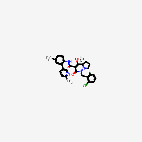 C[C@]12CCCN1N(Cc1c(F)cccc1Cl)C(=O)C(C(=O)Nc1ccc(C(F)(F)F)cc1-c1ccc(C(F)(F)F)nc1)=C2O